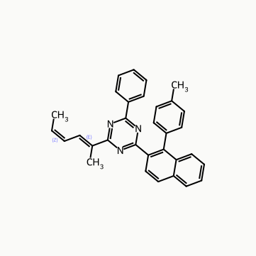 C/C=C\C=C(/C)c1nc(-c2ccccc2)nc(-c2ccc3ccccc3c2-c2ccc(C)cc2)n1